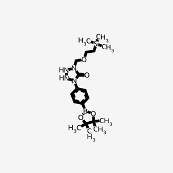 CC1(C)OB(c2ccc(N3NNN(COCC[Si](C)(C)C)C3=O)cc2)OC1(C)C